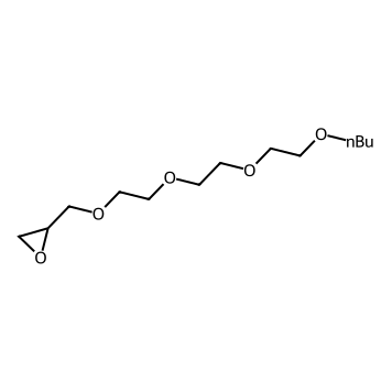 CCCCOCCOCCOCCOCC1CO1